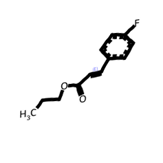 CCCOC(=O)/C=C/c1ccc(F)cc1